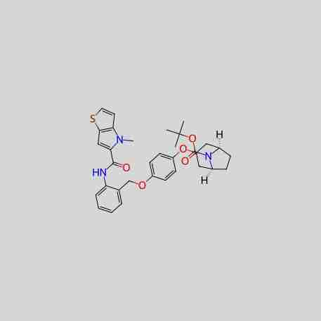 Cn1c(C(=O)Nc2ccccc2COc2ccc(OC3C[C@H]4CC[C@@H](C3)N4C(=O)OC(C)(C)C)cc2)cc2sccc21